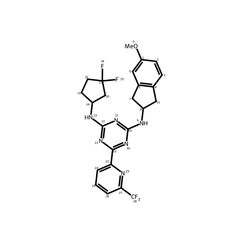 COc1ccc2c(c1)CC(Nc1nc(NC3CCC(F)(F)C3)nc(-c3cccc(C(F)(F)F)n3)n1)C2